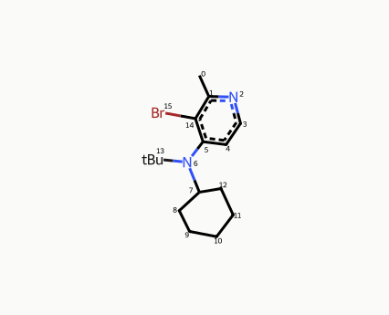 Cc1nccc(N(C2CCCCC2)C(C)(C)C)c1Br